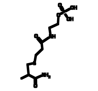 CC(CSCCC(=O)NCCOP(=O)(O)O)C(N)=O